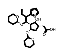 CCC(=C(O[C@@H]1CCCCO1)[C@H]1[C@H](O)[C@H](CC(=O)O)C[C@@H]1OC1CCCCO1)c1cccs1